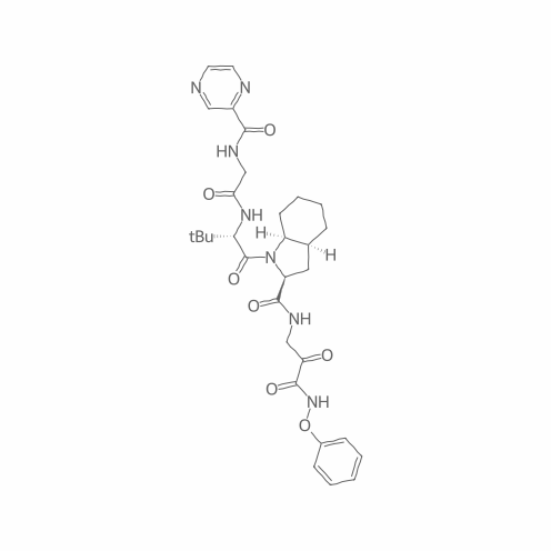 CC(C)(C)[C@H](NC(=O)CNC(=O)c1cnccn1)C(=O)N1[C@H](C(=O)NCC(=O)C(=O)NOc2ccccc2)C[C@@H]2CCCC[C@@H]21